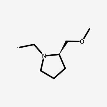 [CH2]CN1CCC[C@@H]1COC